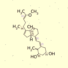 C=C1/C(=C\C=C2/CCC[C@]3(C)C([C@H](C)C/C=C(/C)OC)=CC[C@@H]23)C[C@H](O)C[C@H]1O